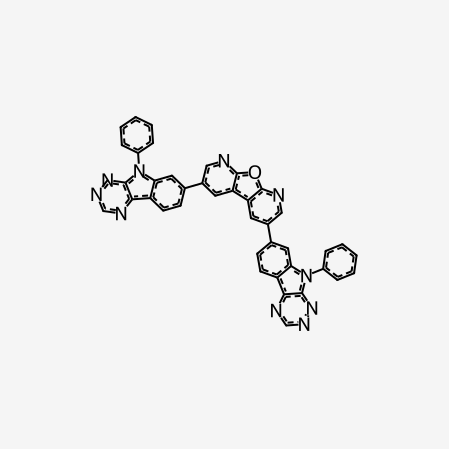 c1ccc(-n2c3cc(-c4cnc5oc6ncc(-c7ccc8c9ncnnc9n(-c9ccccc9)c8c7)cc6c5c4)ccc3c3ncnnc32)cc1